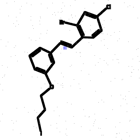 Clc1ccc(/C=C/c2cccc(OCCCI)c2)c(Br)c1